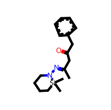 CC(CC(=O)Cc1ccccc1)=NN1CCCC[Si]1(C)C